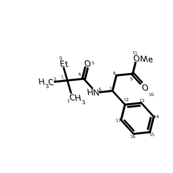 CCC(C)(C)C(=O)NC(CC(=O)OC)c1ccccc1